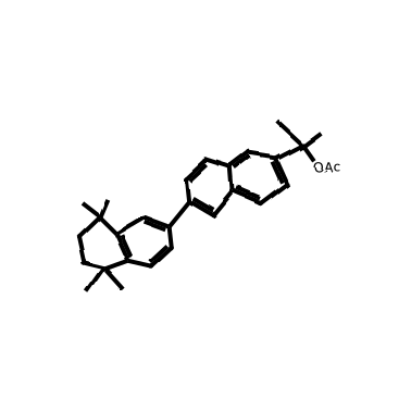 CC(=O)OC(C)(C)c1ccc2cc(-c3ccc4c(c3)C(C)(C)CCC4(C)C)ccc2c1